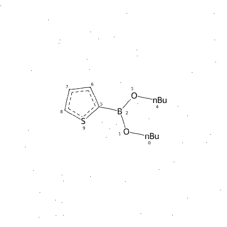 CCCCOB(OCCCC)c1cccs1